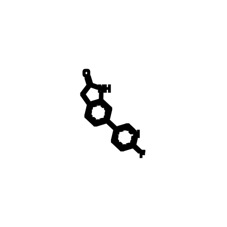 O=C1Cc2ccc(-c3ccc(F)nc3)cc2N1